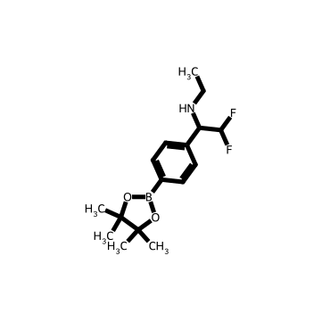 CCNC(c1ccc(B2OC(C)(C)C(C)(C)O2)cc1)C(F)F